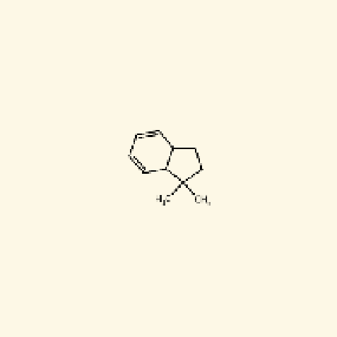 CC1(C)CCC2C=C[C]=CC21